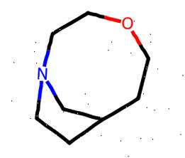 C1CC2CCN(CCO1)C2